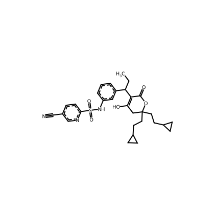 CCC(C1=C(O)CC(CCC2CC2)(CCC2CC2)OC1=O)c1cccc(NS(=O)(=O)c2ccc(C#N)cn2)c1